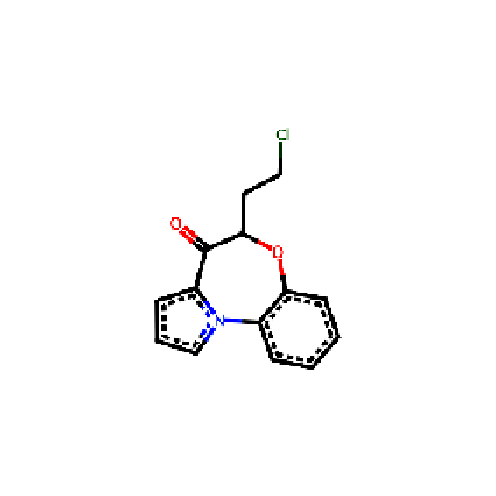 O=C1c2cccn2-c2ccccc2OC1CCCl